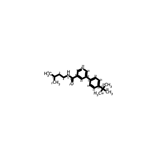 CC(C)CCNC(=O)c1cncc(-c2ccc(C(C)(C)C)cc2)c1